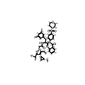 O=C(Cn1nc(C(F)F)c([C@H]2C[C@H]2CF)c1CF)NC(Cc1cc(F)cc(F)c1)c1nc2ccccc2c(=O)n1-c1ccc(S(=O)(=O)N2CCOCC2)cc1